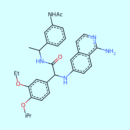 CCOc1cc(C(Nc2ccc3c(N)nccc3c2)C(=O)NC(C)c2cccc(NC(C)=O)c2)ccc1OC(C)C